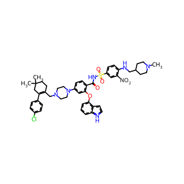 CN1CCC(CNc2ccc(S(=O)(=O)NC(=O)c3ccc(N4CCN(CC5=C(c6ccc(Cl)cc6)CC(C)(C)CC5)CC4)cc3Oc3cccc4[nH]ccc34)cc2[N+](=O)[O-])CC1